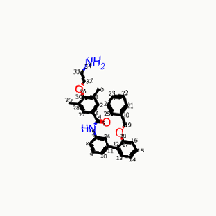 Cc1cc(C(=O)Nc2cccc(-c3ccccc3OCc3ccccc3)c2)cc(C)c1OCCN